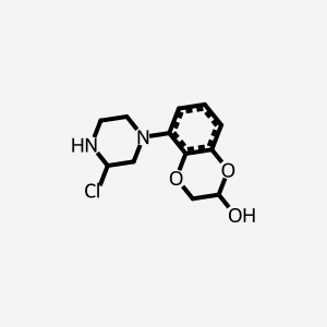 OC1COc2c(cccc2N2CCNC(Cl)C2)O1